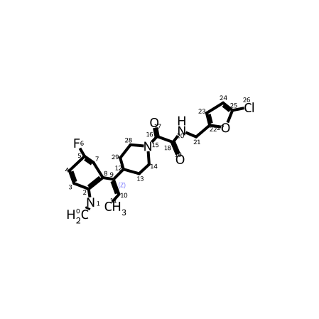 C=Nc1ccc(F)cc1/C(=C\C)C1CCN(C(=O)C(=O)NCc2ccc(Cl)o2)CC1